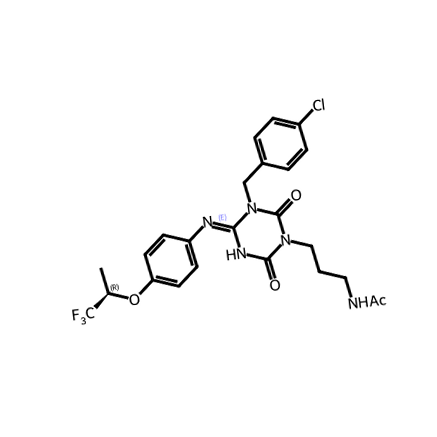 CC(=O)NCCCn1c(=O)[nH]/c(=N\c2ccc(O[C@H](C)C(F)(F)F)cc2)n(Cc2ccc(Cl)cc2)c1=O